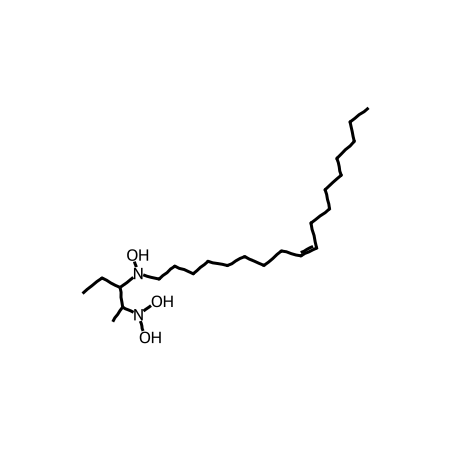 CCCCCCCC/C=C\CCCCCCCCN(O)C(CC)C(C)N(O)O